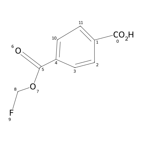 O=C(O)c1ccc(C(=O)OCF)cc1